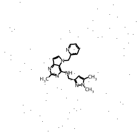 Cc1nc(NCc2cc(C)n(C)n2)c2c(ccn2Cc2ccccn2)n1